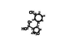 O=C(O)c1nocc1-c1cccc(Cl)c1